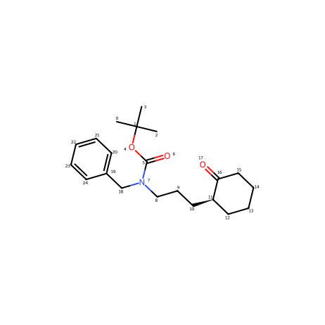 CC(C)(C)OC(=O)N(CCC[C@@H]1CCCCC1=O)Cc1ccccc1